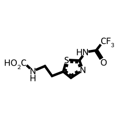 O=C(O)NCCc1cnc(NC(=O)C(F)(F)F)s1